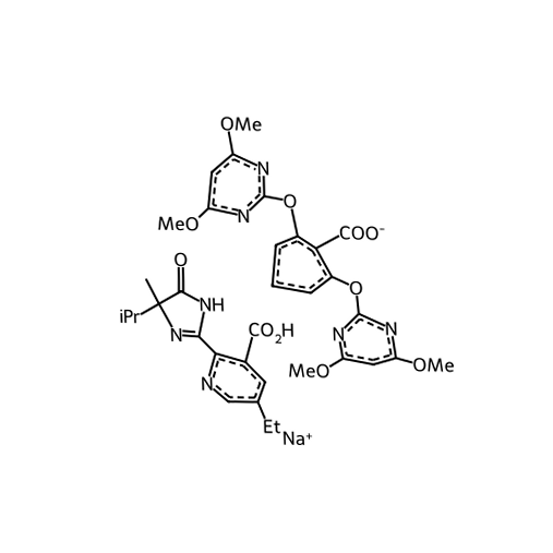 CCc1cnc(C2=NC(C)(C(C)C)C(=O)N2)c(C(=O)O)c1.COc1cc(OC)nc(Oc2cccc(Oc3nc(OC)cc(OC)n3)c2C(=O)[O-])n1.[Na+]